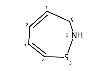 [CH]1C=CC=CSN1